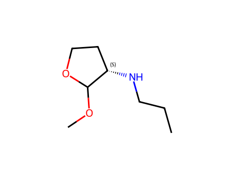 CCCN[C@H]1CCOC1OC